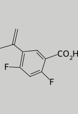 C=C(C)c1cc(C(=O)O)c(F)cc1F